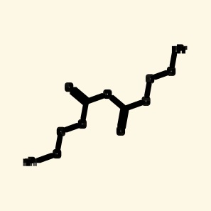 CCCOOOC(=O)OC(=O)OOOCCC